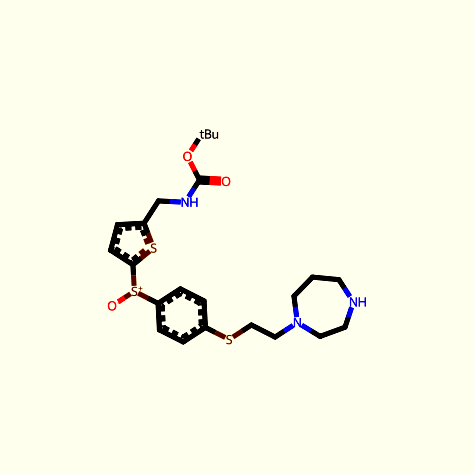 CC(C)(C)OC(=O)NCc1ccc([S+]([O-])c2ccc(SCCN3CCCNCC3)cc2)s1